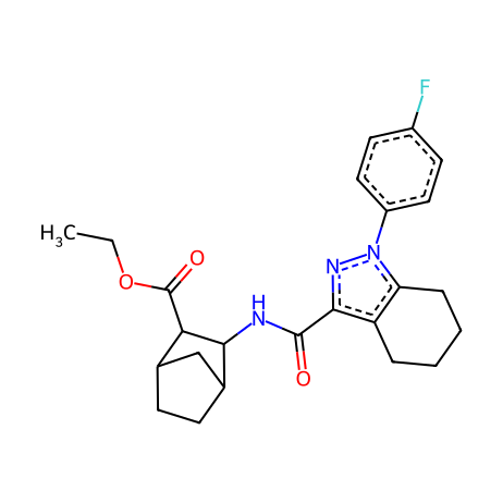 CCOC(=O)C1C2CCC(C2)C1NC(=O)c1nn(-c2ccc(F)cc2)c2c1CCCC2